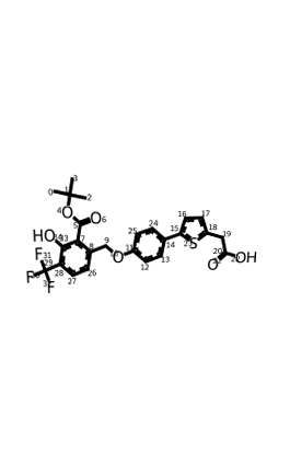 CC(C)(C)OC(=O)c1c(COc2ccc(-c3ccc(CC(=O)O)s3)cc2)ccc(C(F)(F)F)c1O